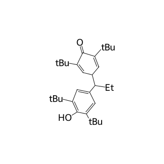 CCC(c1cc(C(C)(C)C)c(O)c(C(C)(C)C)c1)C1C=C(C(C)(C)C)C(=O)C(C(C)(C)C)=C1